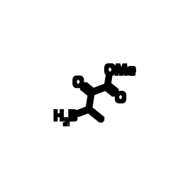 BC(C)C(=O)C(=O)OC